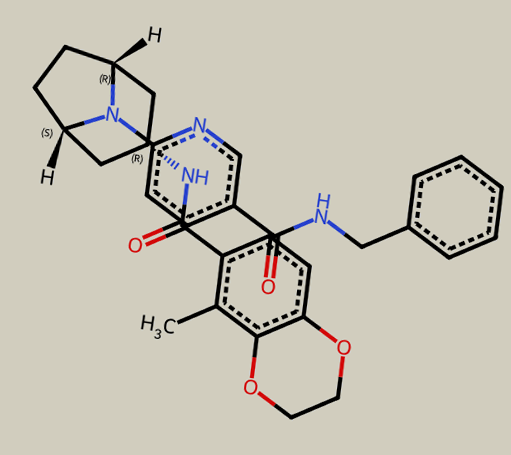 Cc1c(C(=O)N[C@H]2C[C@H]3CC[C@@H](C2)N3c2ccc(C(=O)NCc3ccccc3)cn2)ccc2c1OCCO2